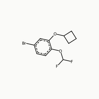 FC(F)Oc1ccc(Br)cc1OC1CCC1